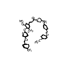 Cc1ccc(COc2ccc(Oc3c(C)cc(C=CC(=O)N4CCC(Nc5ccc(CCOc6ccc(C)cc6)cc5)CC4)cc3Cl)nc2)cc1.Cl